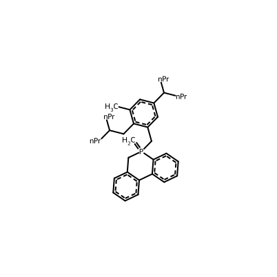 C=P1(Cc2cc(C(CCC)CCC)cc(C)c2CC(CCC)CCC)Cc2ccccc2-c2ccccc21